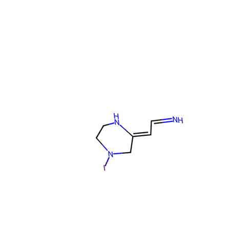 N=C/C=C1/CN(I)CCN1